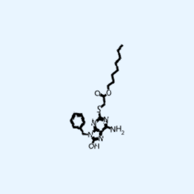 CCCCCCCCOC(=O)CSc1nc(N)c2nc(O)n(Cc3ccccc3)c2n1